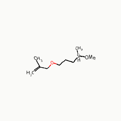 C=C(C)COCCC[SiH](C)OC